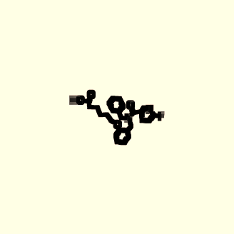 O=C(O)CCCCCOc1ccccc1CN(Cc1ccccc1)C(=O)c1ccc(F)nc1